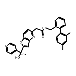 Cc1ccc(-c2ccccc2CNC(=O)Cc2ccc3oc([C@@](C)(O)c4ccncc4)cc3n2)c(C)c1